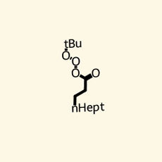 CCCCCCCCCC(=O)OOOC(C)(C)C